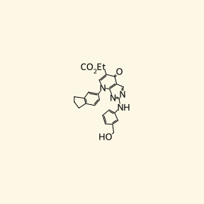 CCOC(=O)c1cn(-c2ccc3c(c2)CCC3)c2nc(Nc3cccc(CO)c3)ncc2c1=O